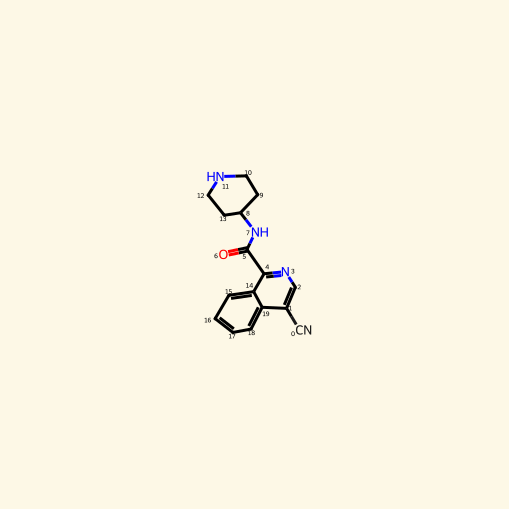 N#Cc1cnc(C(=O)NC2CCNCC2)c2ccccc12